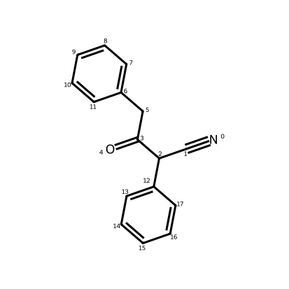 N#CC(C(=O)Cc1ccccc1)c1ccccc1